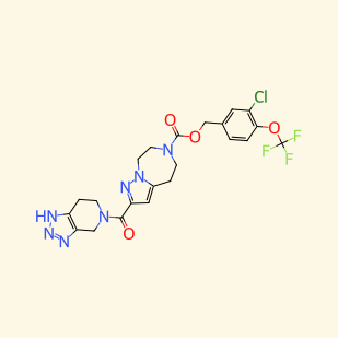 O=C(OCc1ccc(OC(F)(F)F)c(Cl)c1)N1CCc2cc(C(=O)N3CCc4[nH]nnc4C3)nn2CC1